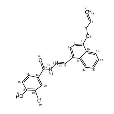 C=CCOc1ccc(/C=N/NC(=O)c2ccc(O)c(Cl)c2)c2ccccc12